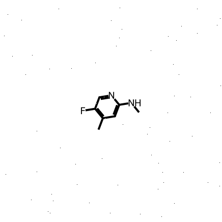 CNc1cc(C)c(F)cn1